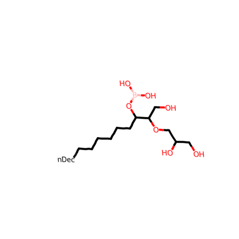 CCCCCCCCCCCCCCCCC(OB(O)O)C(CO)OCC(O)CO